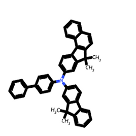 CC1(C)c2ccccc2-c2ccc(N(c3ccc(-c4ccccc4)cc3)c3ccc4c(c3)C(C)(C)c3ccc5ccccc5c3-4)cc21